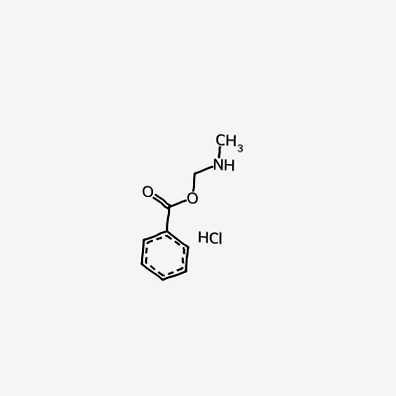 CNCOC(=O)c1ccccc1.Cl